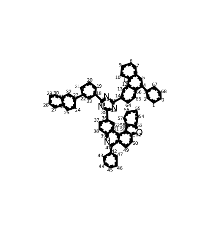 c1ccc(-c2cc3ccccc3c3cc(-c4nc(-c5cccc(-c6ccc7ccccc7c6)c5)nc(-c5ccc6nc(-c7ccccc7)c7ccc8oc9ccccc9c8c7c6c5)n4)ccc23)cc1